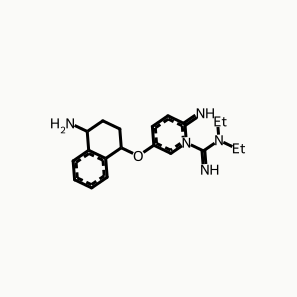 CCN(CC)C(=N)n1cc(OC2CCC(N)c3ccccc32)ccc1=N